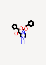 O=C(CC1CCCC1)C1CNCCN1C(=O)OCc1ccccc1